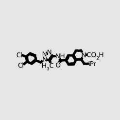 Cc1c(NC(=O)c2ccc3c(c2)CCN(C(=O)O)C3CC(C)C)nnn1Cc1ccc(Cl)c(Cl)c1